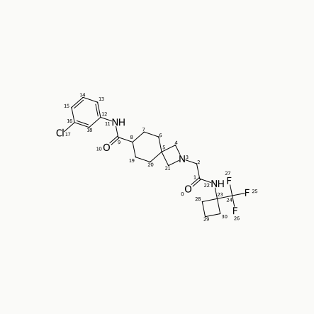 O=C(CN1CC2(CCC(C(=O)Nc3cccc(Cl)c3)CC2)C1)NC1(C(F)(F)F)CCC1